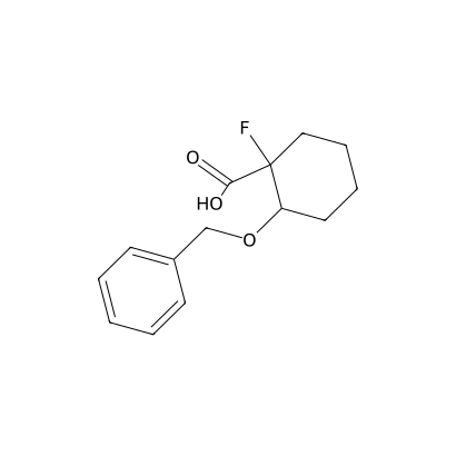 O=C(O)C1(F)CCCCC1OCc1ccccc1